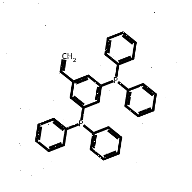 C=Cc1cc(P(c2ccccc2)c2ccccc2)cc(P(c2ccccc2)c2ccccc2)c1